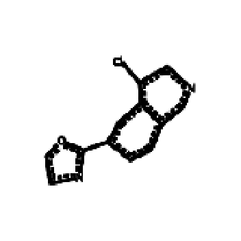 Clc1cncc2ccc(-c3ncco3)cc12